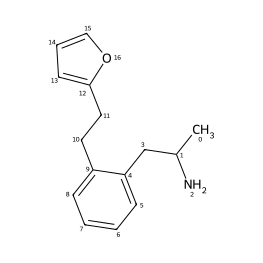 CC(N)Cc1ccccc1CCc1ccco1